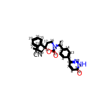 C[C@@H](c1ccc(-c2ccc(=O)[nH]n2)cc1)N1CC[C@@](CC(C)(C)C#N)(c2ccccc2)OC1=O